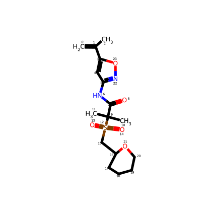 C=C(C)c1cc(NC(=O)C(C)(C)S(=O)(=O)CC2CCCCO2)no1